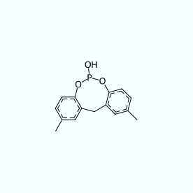 Cc1ccc2c(c1)Cc1cc(C)ccc1OP(O)O2